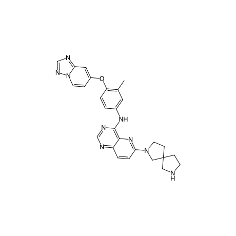 Cc1cc(Nc2ncnc3ccc(N4CCC5(CCNC5)C4)nc23)ccc1Oc1ccn2ncnc2c1